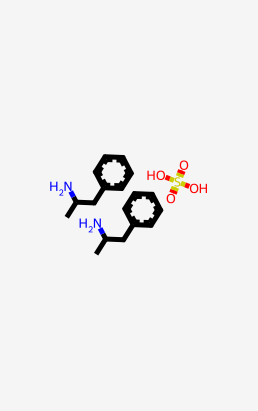 CC(N)Cc1ccccc1.CC(N)Cc1ccccc1.O=S(=O)(O)O